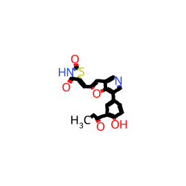 CCC(=O)c1cc(-c2cncc3cc(/C=C4\SC(=O)NC4=O)oc23)ccc1O